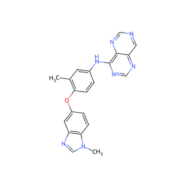 Cc1cc(Nc2ncnc3cncnc23)ccc1Oc1ccc2c(c1)ncn2C